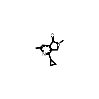 Cc1cc2c(c(C3CC3)n1)CN(C)C2=O